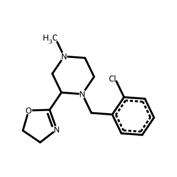 CN1CCN(Cc2ccccc2Cl)C(C2=NCCO2)C1